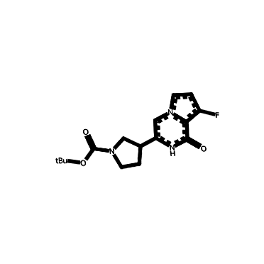 CC(C)(C)OC(=O)N1CCC(c2cn3ccc(F)c3c(=O)[nH]2)C1